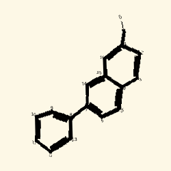 Ic1ccc2ccc(-c3ccccc3)cc2c1